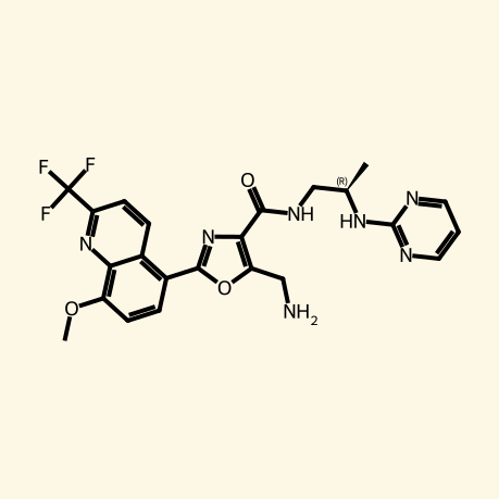 COc1ccc(-c2nc(C(=O)NC[C@@H](C)Nc3ncccn3)c(CN)o2)c2ccc(C(F)(F)F)nc12